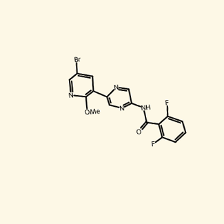 COc1ncc(Br)cc1-c1cnc(NC(=O)c2c(F)cccc2F)cn1